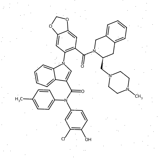 Cc1ccc(N(C(=O)c2cn(-c3cc4c(cc3C(=O)N3Cc5ccccc5C[C@H]3CN3CCN(C)CC3)OCO4)c3ccccc23)c2ccc(O)c(Cl)c2)cc1